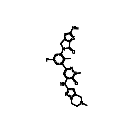 Cc1c(-c2cc(Nc3cc4n(n3)CCN(C)C4)c(=O)n(C)n2)cc(F)cc1N1Cc2cc(C(C)(C)C)sc2C1=O